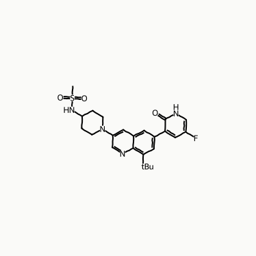 CC(C)(C)c1cc(-c2cc(F)c[nH]c2=O)cc2cc(N3CCC(NS(C)(=O)=O)CC3)cnc12